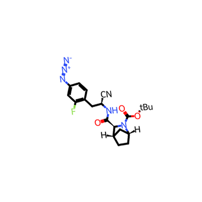 CC(C)(C)OC(=O)N1[C@@H]2CC[C@@H](C2)[C@H]1C(=O)N[C@H](C#N)Cc1ccc(N=[N+]=[N-])cc1F